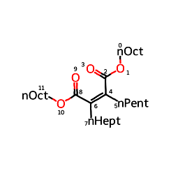 CCCCCCCCOC(=O)/C(CCCCC)=C(/CCCCCCC)C(=O)OCCCCCCCC